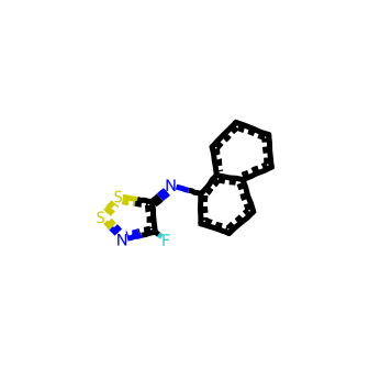 Fc1nss/c1=N/c1cccc2ccccc12